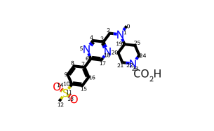 CN(Cc1cnc(-c2ccc(S(C)(=O)=O)cc2)cn1)C1CCN(C(=O)O)CC1